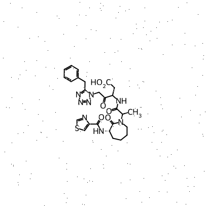 CC(C(=O)NC(CC(=O)O)C(=O)Cn1nnnc1Cc1ccccc1)N1CCCC[C@H](NC(=O)c2cscn2)C1=O